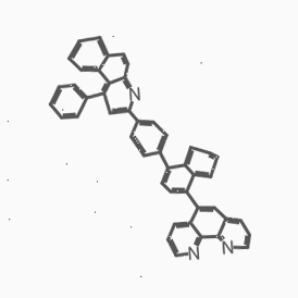 c1ccc(-c2cc(-c3ccc(-c4ccc(-c5cc6cccnc6c6ncccc56)c5ccccc45)cc3)nc3ccc4ccccc4c23)cc1